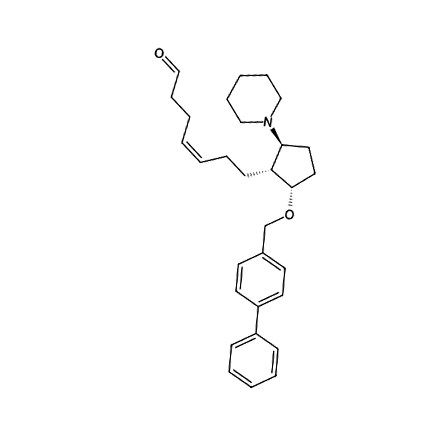 O=CCC/C=C\CC[C@H]1[C@@H](OCc2ccc(-c3ccccc3)cc2)CC[C@@H]1N1CCCCC1